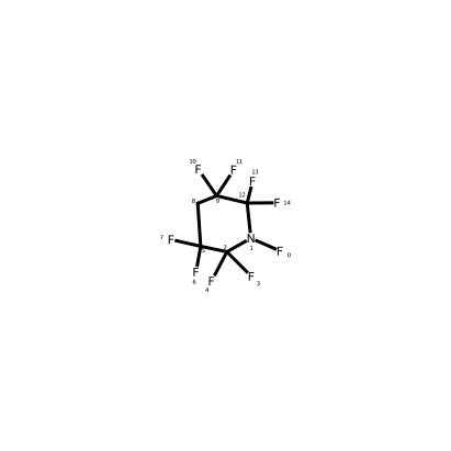 FN1C(F)(F)C(F)(F)CC(F)(F)C1(F)F